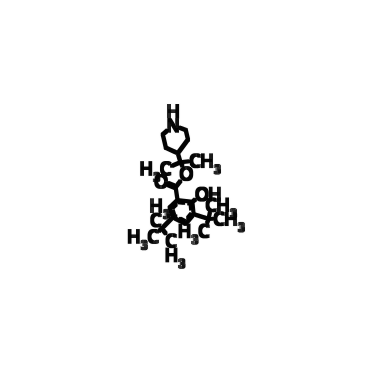 CC(C)(C)c1cc(C(=O)OC(C)(C)C2CCNCC2)c(O)c(C(C)(C)C)c1